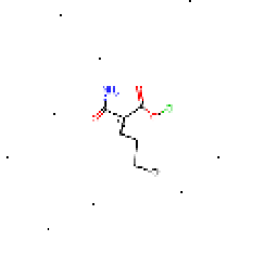 CCCC[C@@H](C(N)=O)C(=O)OCl